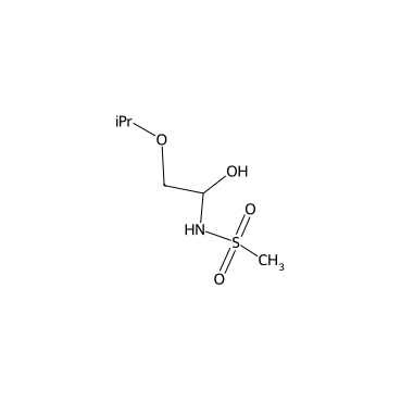 CC(C)OCC(O)NS(C)(=O)=O